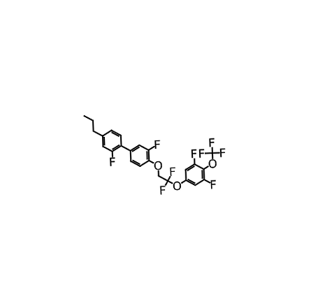 CCCc1ccc(-c2ccc(OCC(F)(F)Oc3cc(F)c(OC(F)(F)F)c(F)c3)c(F)c2)c(F)c1